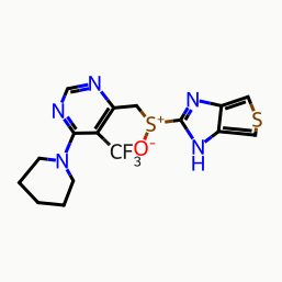 [O-][S+](Cc1ncnc(N2CCCCC2)c1C(F)(F)F)c1nc2cscc2[nH]1